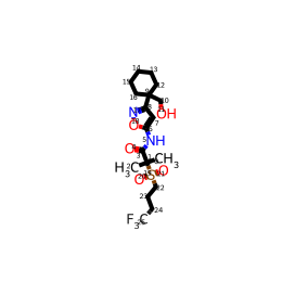 CC(C)(C(=O)Nc1cc(C2(CO)CCCCC2)no1)S(=O)(=O)CCCC(F)(F)F